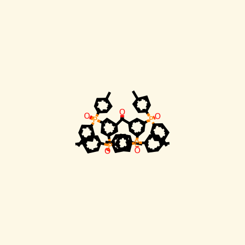 Cc1ccc(P(=O)(c2ccc(C)cc2)c2cc(C(=O)c3cc(P(=O)(c4ccc(C)cc4)c4ccc(C)cc4)cc(P(=O)(c4ccc(C)cc4)c4ccc(C)cc4)c3)cc(P(=O)(c3ccc(C)cc3)c3ccc(C)cc3)c2)cc1